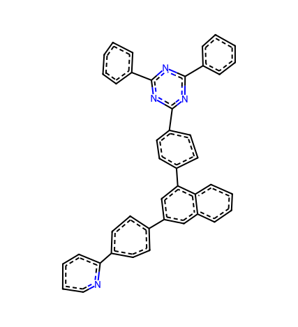 c1ccc(-c2nc(-c3ccccc3)nc(-c3ccc(-c4cc(-c5ccc(-c6ccccn6)cc5)cc5ccccc45)cc3)n2)cc1